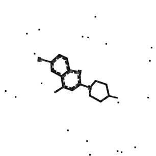 Cc1cc(N2CCC(C)CC2)nc2ccc(Br)cc12